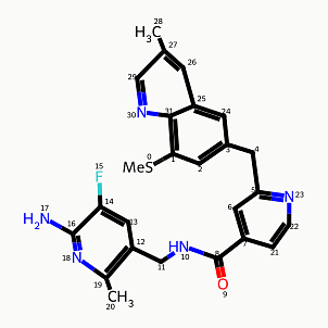 CSc1cc(Cc2cc(C(=O)NCc3cc(F)c(N)nc3C)ccn2)cc2cc(C)cnc12